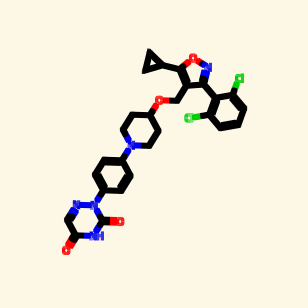 O=c1cnn(-c2ccc(N3CCC(OCc4c(-c5c(Cl)cccc5Cl)noc4C4CC4)CC3)cc2)c(=O)[nH]1